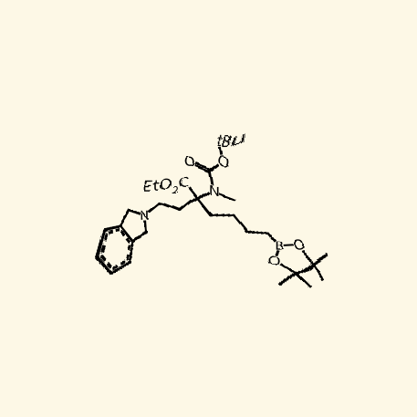 CCOC(=O)C(CCCCB1OC(C)(C)C(C)(C)O1)(CCN1Cc2ccccc2C1)N(C)C(=O)OC(C)(C)C